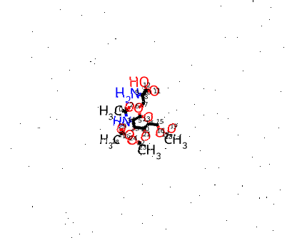 CC(=O)NC1C(OCC(N)C(=O)O)OC(COC(C)=O)C(OC(C)=O)C1OC(C)=O